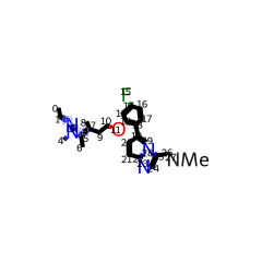 C/C=N/N(C)/C(C)=C(\C)CCOc1cc(F)ccc1-c1ccc2ncc(CNC)n2c1